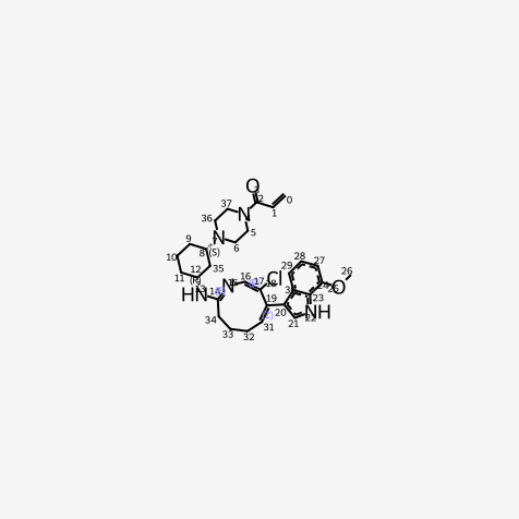 C=CC(=O)N1CCN([C@H]2CCC[C@@H](N/C3=N/C=C(Cl)\C(c4c[nH]c5c(OC)cccc45)=C/CCC3)C2)CC1